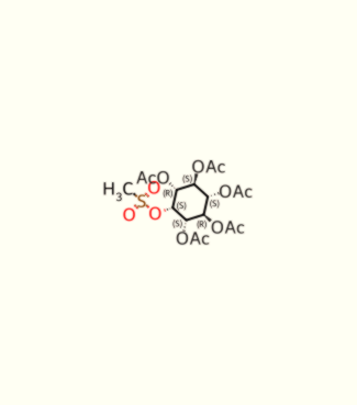 CC(=O)O[C@@H]1[C@@H](OC(C)=O)[C@H](OC(C)=O)[C@H](OS(C)(=O)=O)[C@H](OC(C)=O)[C@H]1OC(C)=O